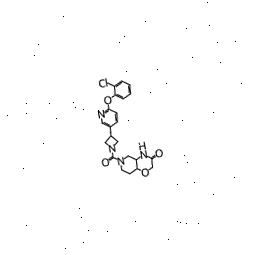 O=C1COC2CCN(C(=O)N3CC(c4ccc(Oc5ccccc5Cl)nc4)C3)CC2N1